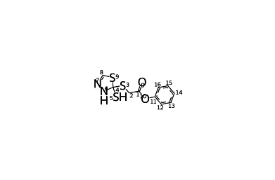 O=C(CSC1(S)NN=CS1)Oc1ccccc1